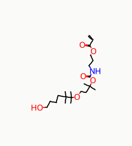 C=CC(=O)OCCCNC(=O)OC(C)(C)CCOC(C)(C)C(C)(C)CCCCO